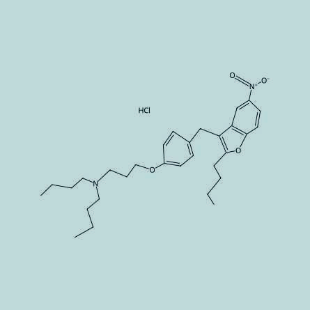 CCCCc1oc2ccc([N+](=O)[O-])cc2c1Cc1ccc(OCCCN(CCCC)CCCC)cc1.Cl